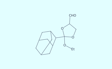 CCOC1(C2C3CC4CC(C3)CC2C4)OCC(C=O)O1